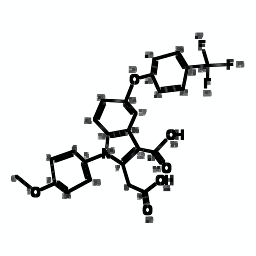 COc1ccc(-n2c(CC(=O)O)c(C(=O)O)c3cc(Oc4ccc(C(F)(F)F)cc4)ccc32)cc1